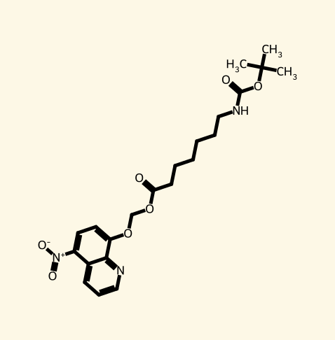 CC(C)(C)OC(=O)NCCCCCCC(=O)OCOc1ccc([N+](=O)[O-])c2cccnc12